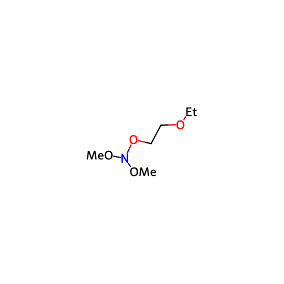 CCOCCON(OC)OC